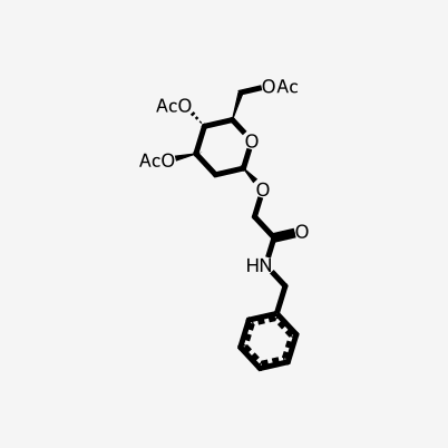 CC(=O)OC[C@H]1O[C@@H](OCC(=O)NCc2ccccc2)C[C@@H](OC(C)=O)[C@@H]1OC(C)=O